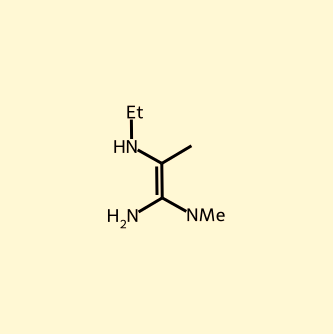 CCN/C(C)=C(\N)NC